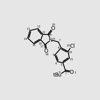 CC(C)(C)C(=O)c1ccc(CN2C(=O)c3ccccc3C2=O)c(Cl)c1